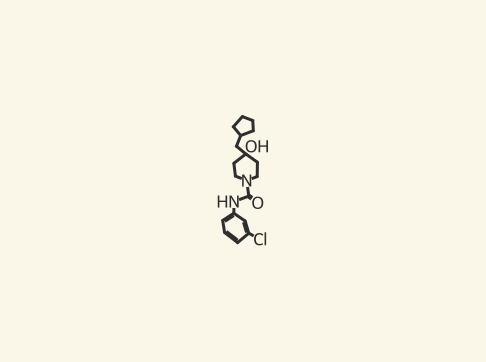 O=C(Nc1cccc(Cl)c1)N1CCC(O)(CC2CCCC2)CC1